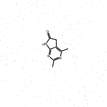 Cc1nc(C)c2c(n1)NC(=O)C2